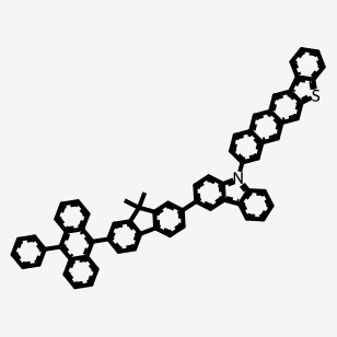 CC1(C)c2cc(-c3ccc4c(c3)c3ccccc3n4-c3ccc4cc5cc6c(cc5cc4c3)sc3ccccc36)ccc2-c2ccc(-c3c4ccccc4c(-c4ccccc4)c4ccccc34)cc21